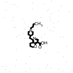 CCCCN1CCC(Cc2ncc(C(=O)O)c3c2CCCO3)CC1